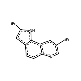 CC(C)c1cnc2ccc3cc(C(C)C)[nH]c3c2c1